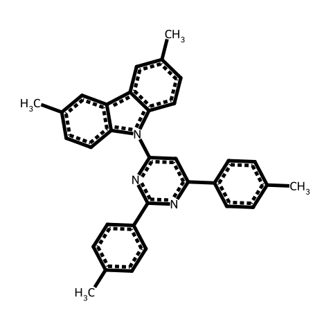 Cc1ccc(-c2cc(-n3c4ccc(C)cc4c4cc(C)ccc43)nc(-c3ccc(C)cc3)n2)cc1